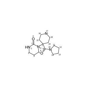 O=C1NCCCN1C1(C(=O)N2CCCC2)CC[N]CC1